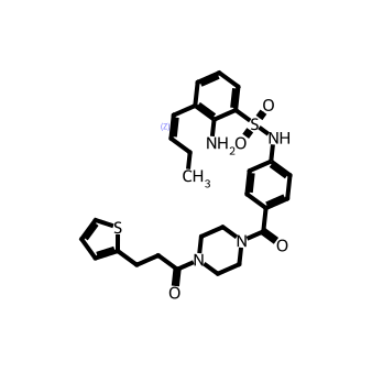 CC/C=C\c1cccc(S(=O)(=O)Nc2ccc(C(=O)N3CCN(C(=O)CCc4cccs4)CC3)cc2)c1N